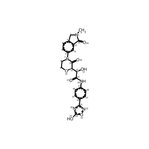 CN1Cc2ccc(N3CCO[C@H]([C@@H](O)C(=O)Nc4ccc(-c5noc(O)n5)cc4)C3=O)cc2C1=O